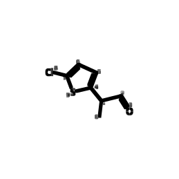 CC(C=O)c1ccc(Cl)s1